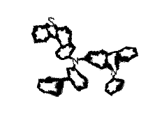 c1ccc(-c2cccc(N(c3ccc4c(ccc5sc6ccccc6c54)c3)c3ccc4c5ccccc5n(-c5ccccc5)c4c3)c2)cc1